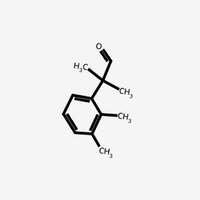 Cc1cccc(C(C)(C)C=O)c1C